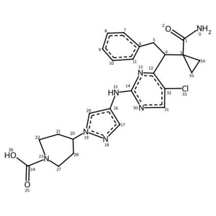 NC(=O)C1(C(Cc2ccccc2)c2nc(Nc3cnn(C4CCN(C(=O)O)CC4)c3)ncc2Cl)CC1